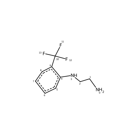 NCCNc1[c]cccc1C(F)(F)F